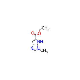 CCOC(=O)C1=CC2N=CN(C)C2N1